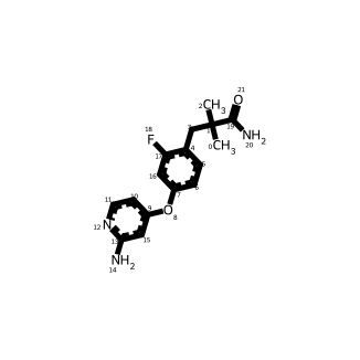 CC(C)(Cc1ccc(Oc2ccnc(N)c2)cc1F)C(N)=O